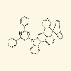 c1ccc(-c2cc(-n3c4ccccc4c4c5cccc6c5c(cc43)-c3ccncc3C63c4ccccc4-c4ccccc43)nc(-c3ccccc3)n2)cc1